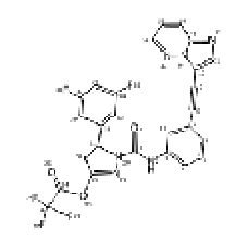 O=C(Nc1cccc(C#Cc2cnc3cccnn23)c1)N1N=C(OC(=O)C(F)(F)F)CC1c1cc(F)cc(F)c1